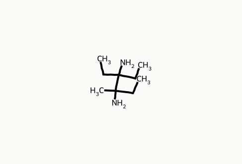 CCC(C)(N)C(N)(CC)CC